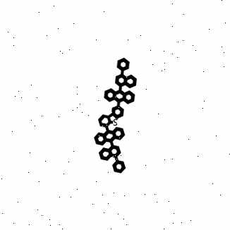 C1=CC2c3cc(-c4c5ccccc5c(-c5ccc(-c6ccccc6)c6ccccc56)c5ccccc45)ccc3SC2C(c2c3ccccc3c(-c3ccc(-c4ccccc4)c4ccccc34)c3ccccc23)=C1